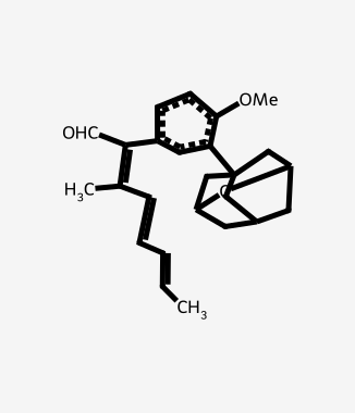 CC=CC=CC(C)=C(C=O)c1ccc(OC)c(C23CC4CC(CC(C4)C2)C3)c1